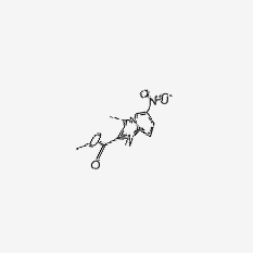 COC(=O)c1nc2ccc([N+](=O)[O-])cn2c1C